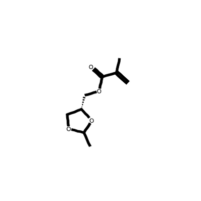 C=C(C)C(=O)OC[C@H]1COC(C)O1